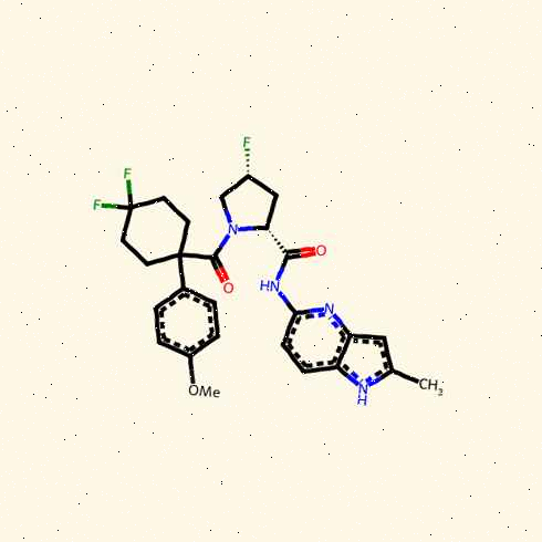 COc1ccc(C2(C(=O)N3C[C@H](F)C[C@@H]3C(=O)Nc3ccc4[nH]c(C)cc4n3)CCC(F)(F)CC2)cc1